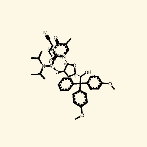 COc1ccc(C(c2ccccc2)(c2ccc(OC)cc2)C(O)[C@@H]2CC(OP(OCCC#N)N(C(C)C)C(C)C)[C@H](n3cc(C)c(=O)[nH]c3=O)O2)cc1